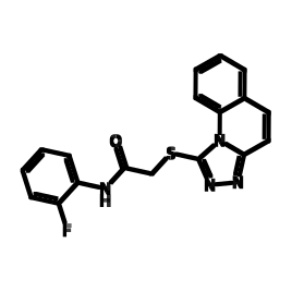 O=C(CSc1nnc2ccc3ccccc3n12)Nc1ccccc1F